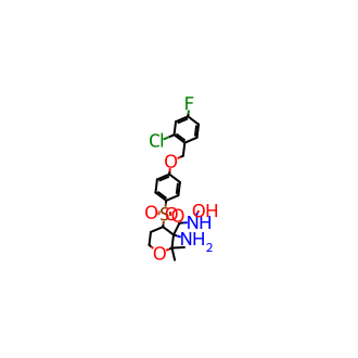 CC1(C)OCCC(S(=O)(=O)c2ccc(OCc3ccc(F)cc3Cl)cc2)C1(N)C(=O)NO